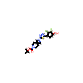 CC(C)(C)OC(=O)N1CCC2(CC1)CN(c1nnc(-c3ccc(O)c(F)c3F)s1)C2